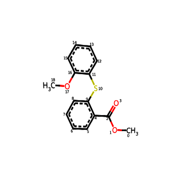 COC(=O)c1ccccc1Sc1ccccc1OC